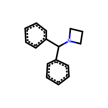 c1ccc([C](c2ccccc2)N2CCC2)cc1